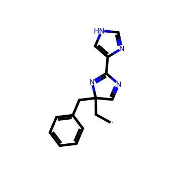 [CH2]CC1(Cc2ccccc2)C=NC(c2c[nH]cn2)=N1